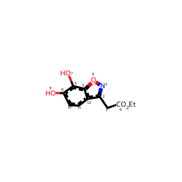 CCOC(=O)Cc1noc2c(O)c(O)ccc12